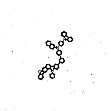 c1ccc(-n2c3ccc(-c4cccc(-c5ccc(N(c6ccc(-n7c8ccccc8c8ccccc87)cc6)c6ccc7ccccc7c6)cc5)c4)cc3c3ccc4cc5oc6ccccc6c5cc4c32)cc1